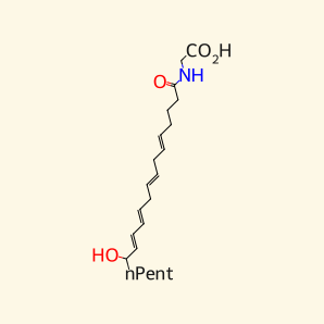 CCCCCC(O)C=CC=CCC=CCC=CCCCC(=O)NCC(=O)O